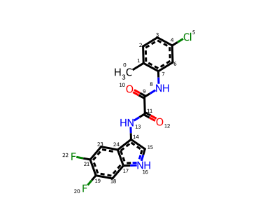 Cc1ccc(Cl)cc1NC(=O)C(=O)Nc1c[nH]c2cc(F)c(F)cc12